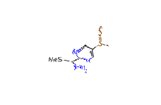 CSC(N)c1ncc(S(C)=S)cn1